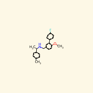 COc1ccc(CN[C@H](C)c2ccc(C)cc2)cc1-c1ccc(F)cc1